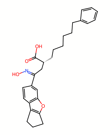 O=C(O)[C@H](CCCCCCc1ccccc1)CC(=NO)c1ccc2c3c(oc2c1)CCC3